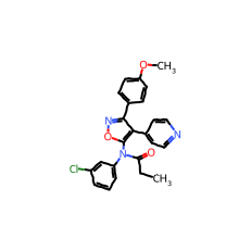 CCC(=O)N(c1cccc(Cl)c1)c1onc(-c2ccc(OC)cc2)c1-c1ccncc1